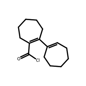 O=C(Cl)C1=C(C2=CCCCCC2)CCCCC1